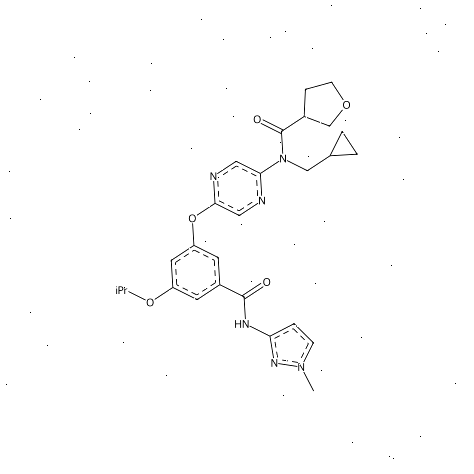 CC(C)Oc1cc(Oc2cnc(N(CC3CC3)C(=O)C3CCOC3)cn2)cc(C(=O)Nc2ccn(C)n2)c1